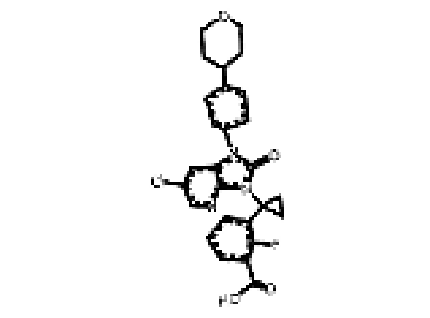 O=C(O)c1cccc(C2(n3c(=O)n(-c4ccc(C5CCOCC5)cc4)c4cc(Cl)cnc43)CC2)c1F